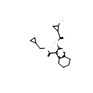 CC1CC1C(=O)Nc1sc2c(c1C(=O)NCC1CC1)CCCC2